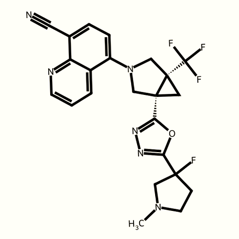 CN1CCC(F)(c2nnc([C@]34CN(c5ccc(C#N)c6ncccc56)C[C@@]3(C(F)(F)F)C4)o2)C1